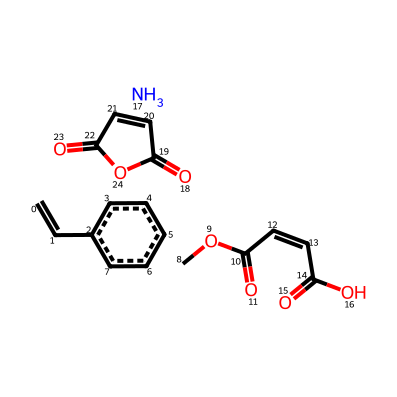 C=Cc1ccccc1.COC(=O)/C=C\C(=O)O.N.O=C1C=CC(=O)O1